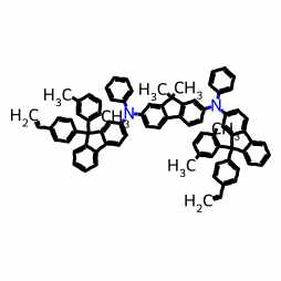 C=Cc1ccc(C2(c3cc(C)ccc3C)c3ccccc3-c3ccc(N(c4ccccc4)c4ccc5c(c4)C(C)(C)c4cc(N(c6ccccc6)c6ccc7c(c6)C(c6ccc(C=C)cc6)(c6cc(C)ccc6C)c6ccccc6-7)ccc4-5)cc32)cc1